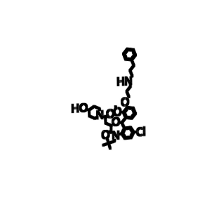 COc1c(OCCCNCCCc2ccccc2)cccc1C1OC(CC(=O)N2CCC(O)CC2)C(=O)N(CC(C)(C)C)c2ccc(Cl)cc21